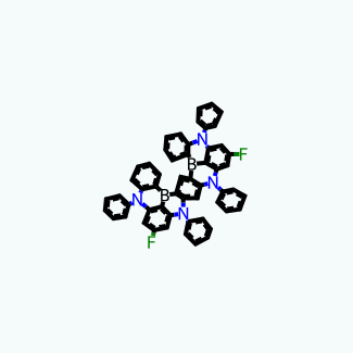 Fc1cc2c3c(c1)N(c1ccccc1)c1cc4c(cc1B3c1ccccc1N2c1ccccc1)B1c2ccccc2N(c2ccccc2)c2cc(F)cc(c21)N4c1ccccc1